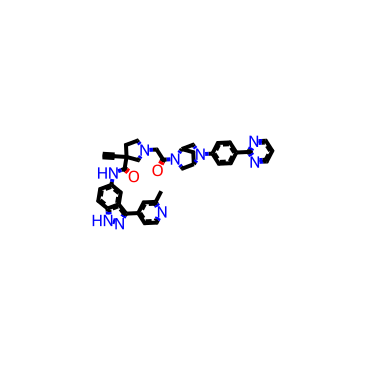 C#CC1(C(=O)Nc2ccc3[nH]nc(-c4ccnc(C)c4)c3c2)CCN(CC(=O)N2CC3CC2CN3c2ccc(-c3ncccn3)cc2)C1